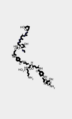 C/C=C/[C@@H]1O[C@H]([C@@H](/C=C/C=C(\C)C[C@@H](C)/C=C(C)\C=C\[C@H]2CC=CC(O)O2)NC(=O)OCCc2cn(-c3ccc(C(=O)NCCCC[C@H](NC(=O)CC[C@@H](C)NC(=O)c4ccc(NCc5cnc6nc(N)nc(O)c6n5)cc4)C(=O)N[C@H](CCCCN)C(=O)O)cc3)nn2)C[C@@H](O)[C@@H]1C